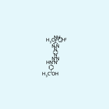 CC(O)c1ccc(Nc2ncnc(N3CCN(c4ncc([C@@](C)(N)c5ccc(F)cc5)cn4)CC3)n2)cc1